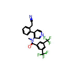 CN(C(=O)c1cc(C(F)(F)F)cc(C(F)(F)F)c1)c1cnccc1-c1ccccc1CC#N